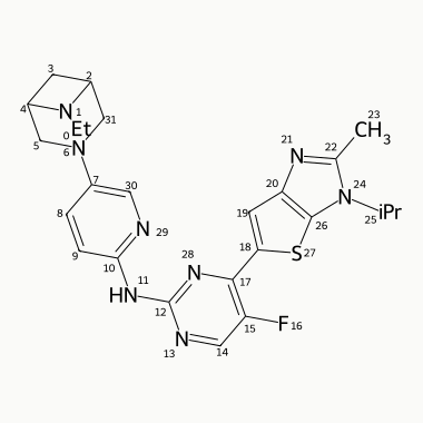 CCN1C2CC1CN(c1ccc(Nc3ncc(F)c(-c4cc5nc(C)n(C(C)C)c5s4)n3)nc1)C2